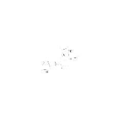 O=C(NCc1ccccc1Cl)[C@]1(F)CC[C@H](O)c2ncccc21